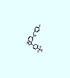 CN(Cc1ccc(F)cc1)c1ccn2ncc(C3C=CC(C(F)(F)F)=CC3)c2c1